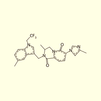 Cc1ccc2c(c1)c(CN1C(=O)c3ccc(-n4cnc(C)c4)c(=O)n3CC1C)cn2CC(F)(F)F